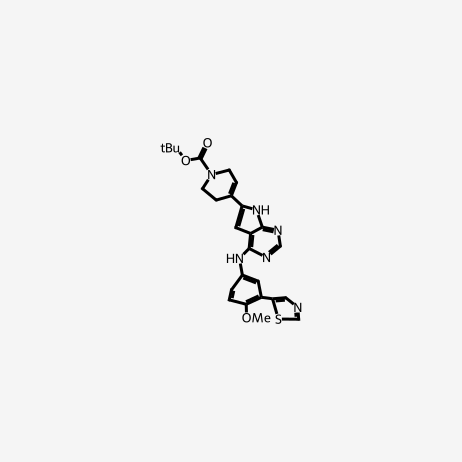 COc1ccc(Nc2ncnc3[nH]c(C4=CCN(C(=O)OC(C)(C)C)CC4)cc23)cc1-c1cncs1